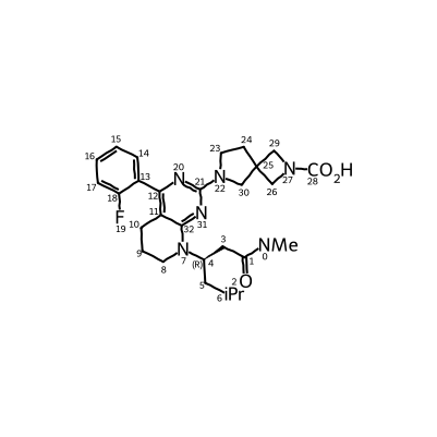 CNC(=O)C[C@@H](CC(C)C)N1CCCc2c(-c3ccccc3F)nc(N3CCC4(CN(C(=O)O)C4)C3)nc21